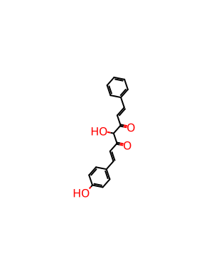 O=C(C=Cc1ccccc1)C(O)C(=O)C=Cc1ccc(O)cc1